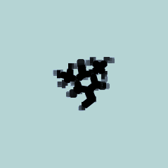 O=C1C(=CI)C(=O)N(C(F)(F)F)C(=O)N1C(F)(F)F